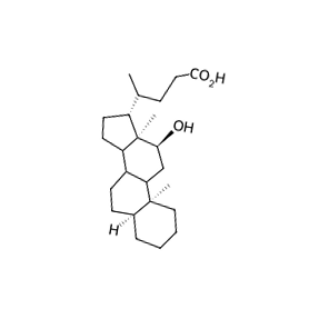 CC(CCC(=O)O)[C@H]1CCC2C3CC[C@@H]4CCCC[C@]4(C)C3C[C@H](O)[C@@]21C